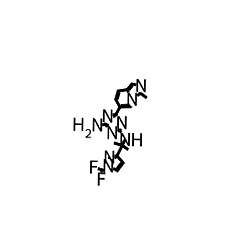 Cc1ncc2ccc(-c3nc(N)nc(NC(C)(C)c4ccn(C(F)F)n4)n3)cn12